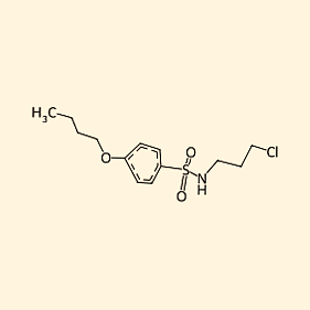 CCCCOc1ccc(S(=O)(=O)NCCCCl)cc1